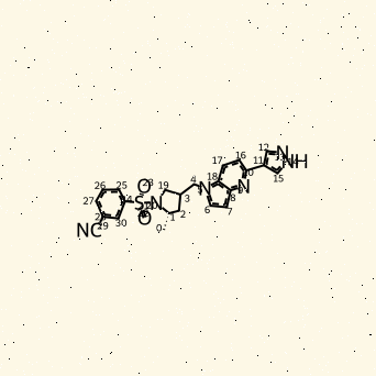 C[C@H]1CC(Cn2ccc3nc(-c4cn[nH]c4)ccc32)CN1S(=O)(=O)c1cccc(C#N)c1